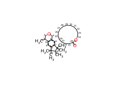 CC1COCc2cc3c(cc21)C(C)(C)C(C)C3(C)C.O=C1CCCCCCCCCCCCCCO1